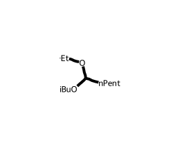 C[CH]OC(CCCCC)OCC(C)C